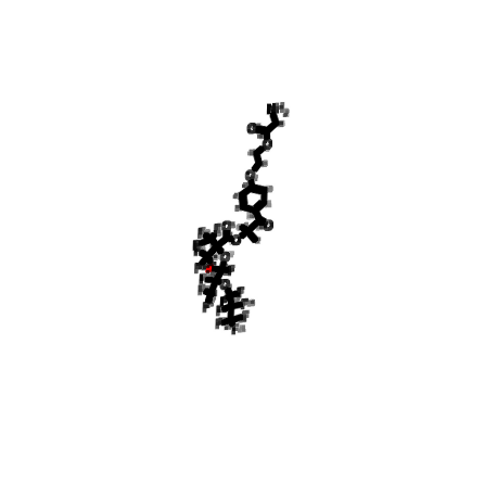 CC(C)(OC(=O)C(OC(F)(F)C(F)(OC(F)(F)C(F)(F)C(F)(F)F)C(F)(F)F)(C(F)(F)F)C(F)(F)F)C(=O)c1ccc(OCCOC(=O)CN)cc1